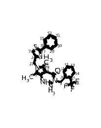 Cc1c(N)c(C(=O)N(C)Cc2ccccc2C(F)(F)F)c(C)n1Cc1csc(-c2ccccc2)n1